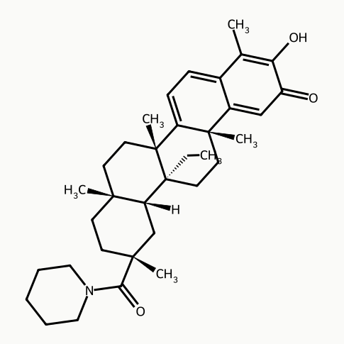 CC[C@@]12CC[C@@]3(C)C4=CC(=O)C(O)=C(C)C4=CC=C3[C@@]1(C)CC[C@@]1(C)CC[C@@](C)(C(=O)N3CCCCC3)C[C@H]12